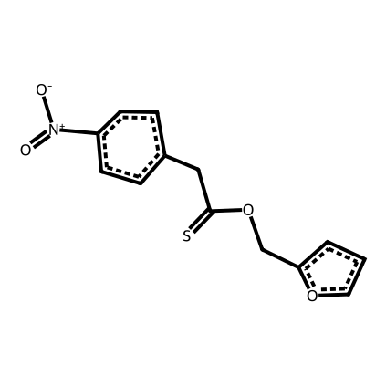 O=[N+]([O-])c1ccc(CC(=S)OCc2ccco2)cc1